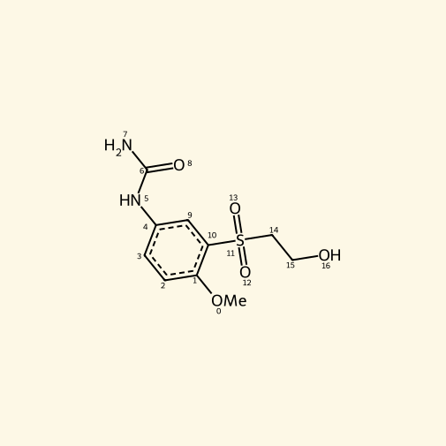 COc1ccc(NC(N)=O)cc1S(=O)(=O)CCO